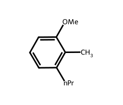 CCCc1cccc(OC)c1C